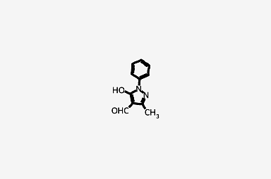 Cc1nn(-c2ccccc2)c(O)c1C=O